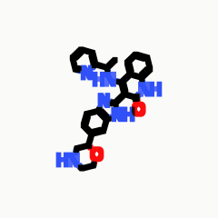 CC(Nc1c(-c2nc3ccc(C4CNCCO4)cc3[nH]2)c(=O)[nH]c2ccccc12)c1ccccn1